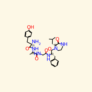 CC(C)C[C@@H]1C(=O)NCCCN1C(=O)[C@H](Cc1ccccc1)NC(=O)CNC(=O)[C@@H](C)NC(=O)[C@@H](N)Cc1ccc(O)cc1